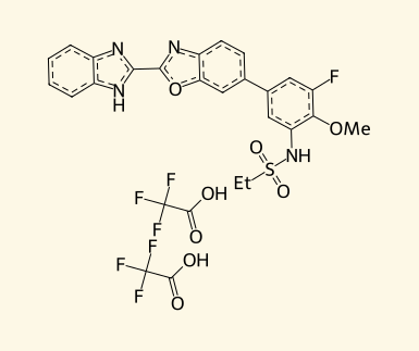 CCS(=O)(=O)Nc1cc(-c2ccc3nc(-c4nc5ccccc5[nH]4)oc3c2)cc(F)c1OC.O=C(O)C(F)(F)F.O=C(O)C(F)(F)F